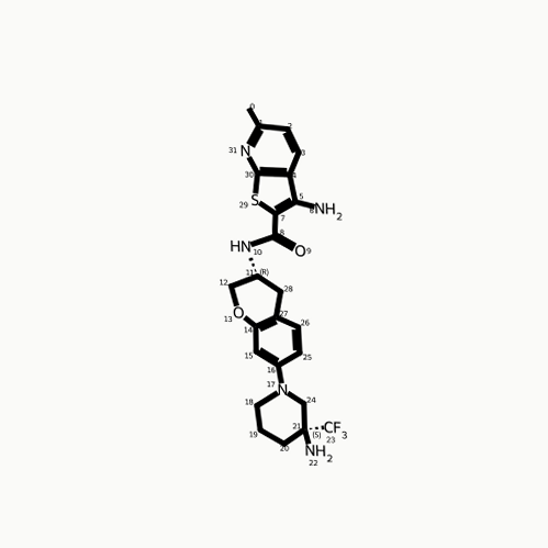 Cc1ccc2c(N)c(C(=O)N[C@H]3COc4cc(N5CCC[C@@](N)(C(F)(F)F)C5)ccc4C3)sc2n1